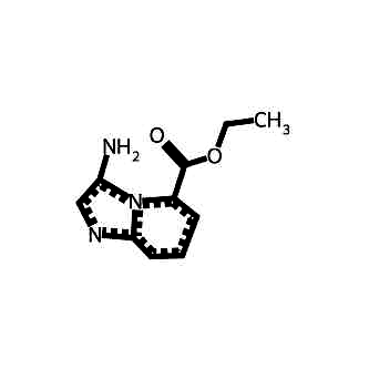 CCOC(=O)c1cccc2ncc(N)n12